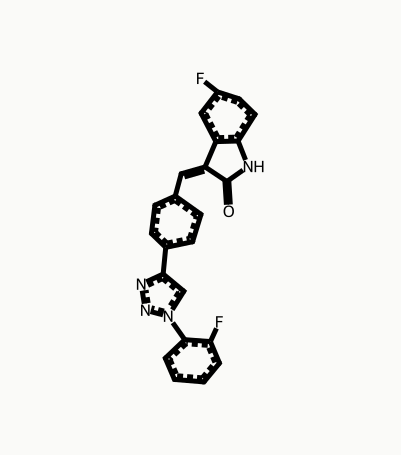 O=C1Nc2ccc(F)cc2/C1=C/c1ccc(-c2cn(-c3ccccc3F)nn2)cc1